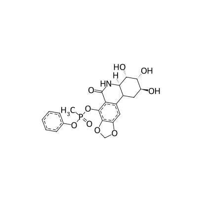 CP(=O)(Oc1ccccc1)Oc1c2c(cc3c1C(=O)N[C@@H]1C3C[C@H](O)[C@@H](O)[C@H]1O)OCO2